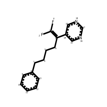 FC(F)=C(CCCCc1ccccc1)c1cncnc1